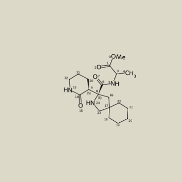 COC(=O)C(C)NC(=O)[C@@]1([C@@H]2CCCNC2=O)CC2(CCCCC2)CN1